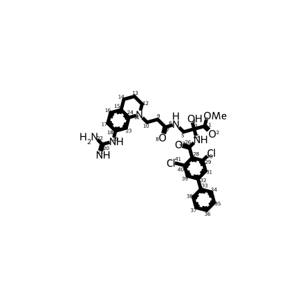 COC(=O)C(O)(CNC(=O)CCN1CCCc2ccc(NC(=N)N)cc21)NC(=O)c1c(Cl)cc(-c2ccccc2)cc1Cl